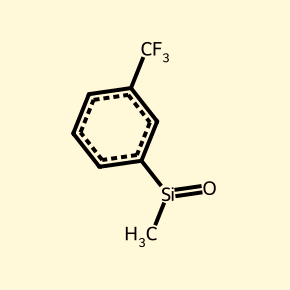 C[Si](=O)c1cccc(C(F)(F)F)c1